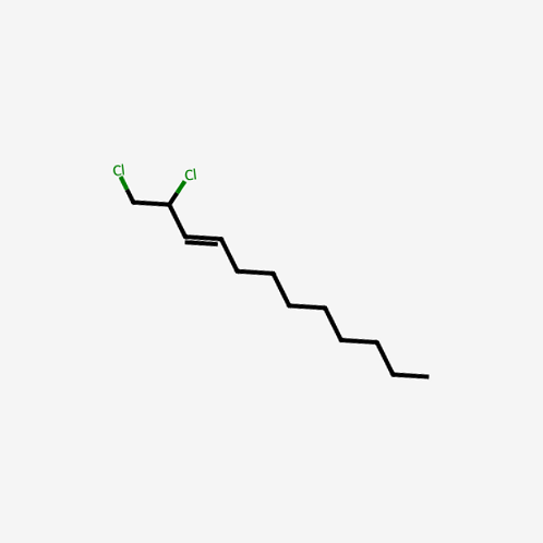 CCCCCCCCC=CC(Cl)CCl